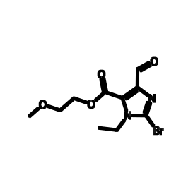 CCn1c(Br)nc(C=O)c1C(=O)OCCOC